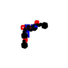 CNC(=O)[C@H](Cc1ccc(OCc2ccccc2)cc1)NC(=O)CC1CCN(C(=O)CCc2ccccc2)CC1